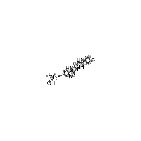 CCN(CCO)CCC#Cc1ccc2c(Nc3cc(CC(=O)Nc4ccc(F)cc4)[nH]n3)ncnc2c1